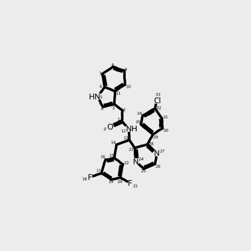 O=C(Cc1c[nH]c2ccccc12)NC(Cc1cc(F)cc(F)c1)c1nccnc1-c1ccc(Cl)cc1